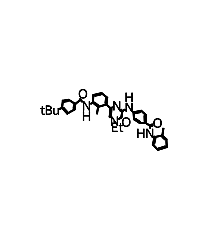 CCn1cc(-c2cccc(NC(=O)c3ccc(C(C)(C)C)cc3)c2C)nc(Nc2ccc(C(=O)Nc3ccccc3C)cc2)c1=O